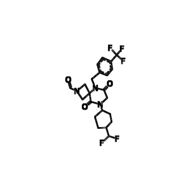 O=CN1CC2(C1)C(=O)N(C1CCC(C(F)F)CC1)CC(=O)N2Cc1ccc(C(F)(F)F)cc1